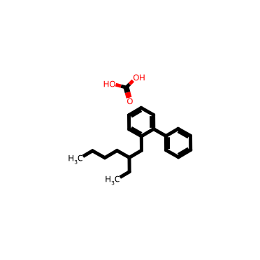 CCCCC(CC)Cc1ccccc1-c1ccccc1.O=C(O)O